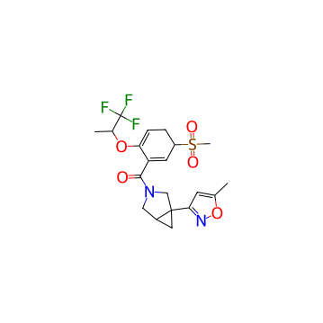 Cc1cc(C23CC2CN(C(=O)C2=CC(S(C)(=O)=O)CC=C2OC(C)C(F)(F)F)C3)no1